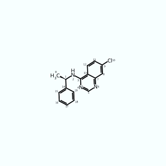 C[C@@H](Nc1ncnc2cc(Cl)ccc12)c1ccccc1